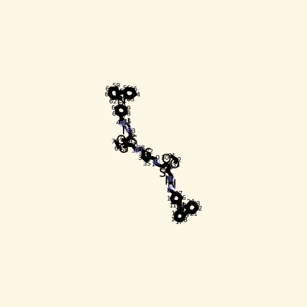 C(=C\c1sc(/C=N/N=C/c2ccc(-n3c4ccccc4c4ccccc43)cc2)c2c1OCCO2)/c1ccc(/C=C/c2sc(/C=N/N=C/c3ccc(-n4c5ccccc5c5ccccc54)cc3)c3c2OCCO3)s1